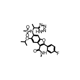 CNC(=O)c1c(-c2ccc(F)cc2)oc2cc(N(C(C)c3nnn[nH]3)S(C)(=O)=O)c(OC(C)C)cc12